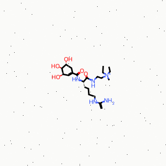 C=C(N)NCCCC[C@H](NC(=O)C1=C[C@@H](O)[C@@H](O)[C@H](O)C1)C(=O)NCC[N+](C)(CC)CC